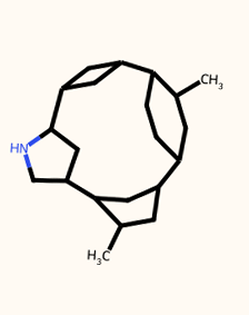 CC1CC2CCC1C1CC(C1)C1CC(CN1)C1CC2CC1C